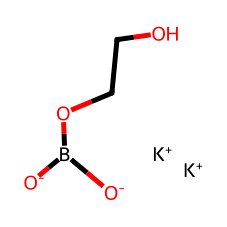 [K+].[K+].[O-]B([O-])OCCO